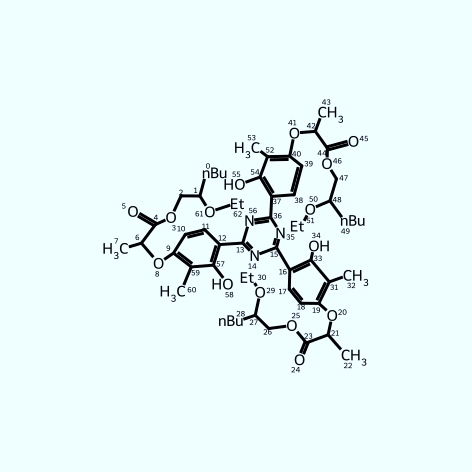 CCCCC(COC(=O)C(C)Oc1ccc(-c2nc(-c3ccc(OC(C)C(=O)OCC(CCCC)OCC)c(C)c3O)nc(-c3ccc(OC(C)C(=O)OCC(CCCC)OCC)c(C)c3O)n2)c(O)c1C)OCC